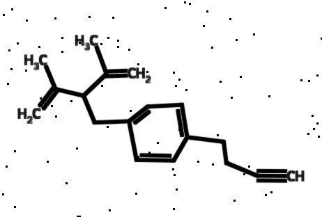 C#CCCc1ccc(CC(C(=C)C)C(=C)C)cc1